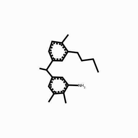 CCCCc1cc(C(C)c2cc(C)c(C)c(N)c2)ccc1C